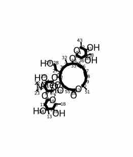 CO[C@@H]1[C@@H](O[C@@H]2O[C@H](C)[C@@H](O[C@H]3C[C@@](C)(O)[C@@H](O)[C@H](C)O3)[C@H](N(C)C)[C@H]2O)[C@@H](CCO)C[C@@H](C)[C@@H](O[C@H]2C[C@@](C)(O)[C@@H](O)[C@H](C)O2)/C=C\C=C/C[C@@H](C)OC(=O)C[C@H]1O